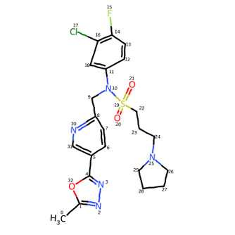 Cc1nnc(-c2ccc(CN(c3ccc(F)c(Cl)c3)S(=O)(=O)CCCN3CCCC3)nc2)o1